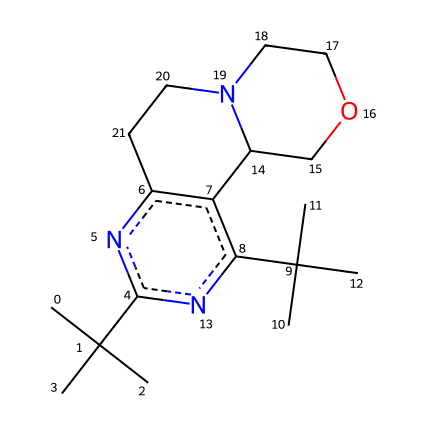 CC(C)(C)c1nc2c(c(C(C)(C)C)n1)C1COCCN1CC2